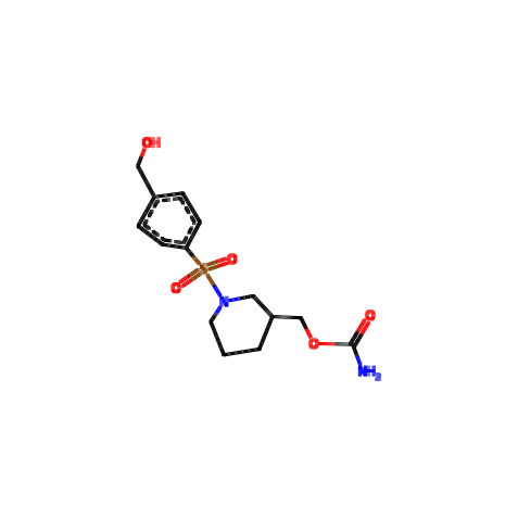 NC(=O)OCC1CCCN(S(=O)(=O)c2ccc(CO)cc2)C1